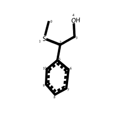 CSC(CO)c1ccccc1